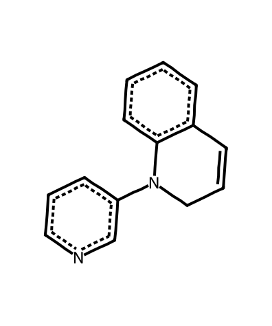 C1=Cc2ccccc2N(c2cccnc2)C1